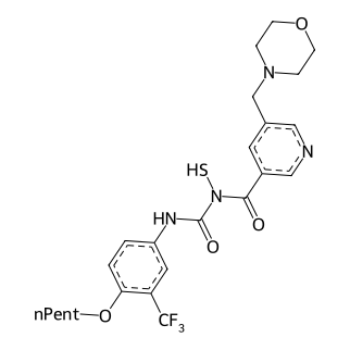 CCCCCOc1ccc(NC(=O)N(S)C(=O)c2cncc(CN3CCOCC3)c2)cc1C(F)(F)F